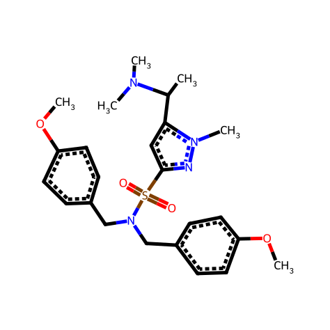 COc1ccc(CN(Cc2ccc(OC)cc2)S(=O)(=O)c2cc(C(C)N(C)C)n(C)n2)cc1